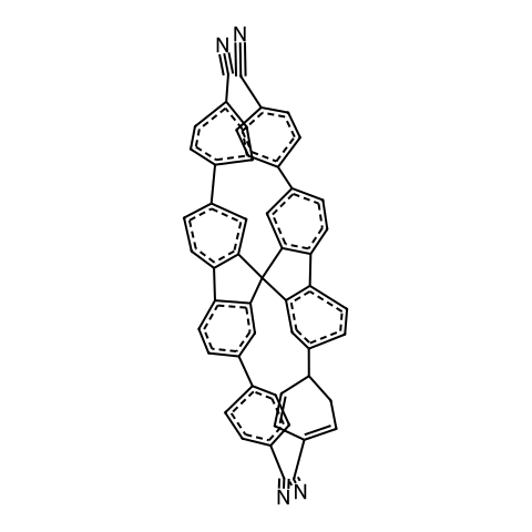 N#CC1=CCC(c2ccc3c(c2)C2(c4cc(-c5ccc(C#N)cc5)ccc4-c4ccc(-c5ccc(C#N)cc5)cc42)c2cc(-c4ccc(C#N)cc4)ccc2-3)C=C1